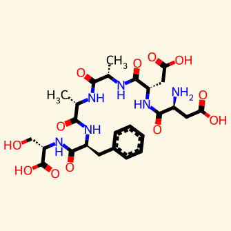 C[C@H](NC(=O)[C@H](C)NC(=O)[C@H](CC(=O)O)NC(=O)[C@@H](N)CC(=O)O)C(=O)N[C@@H](Cc1ccccc1)C(=O)N[C@@H](CO)C(=O)O